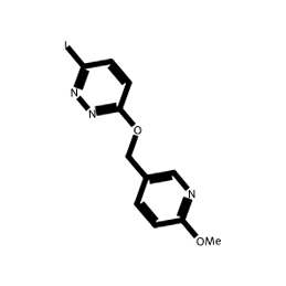 COc1ccc(COc2ccc(I)nn2)cn1